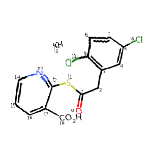 O=C(Cc1cc(Cl)ccc1Cl)Sc1ncccc1C(=O)O.[KH]